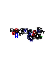 CCS(=O)(=O)NC1CCC2(CC1)CN(C[C@@H]1CCN(c3ncncc3Oc3ccc(F)cc3C(=O)N(C(C)C)C(C)C)C1)C2